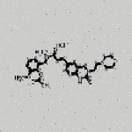 COc1cccc(CN(C)C(=O)/C=C/c2cnc3c(c2)CN(CCN2CCOCC2)C(=O)N3)c1OC(C)C.Cl